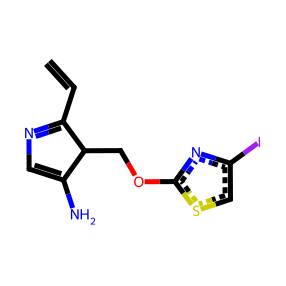 C=CC1=NC=C(N)C1COc1nc(I)cs1